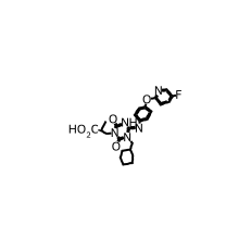 C[C@@H](Cn1c(=O)[nH]/c(=N\c2ccc(Oc3ccc(F)cn3)cc2)n(CC2CCCCC2)c1=O)C(=O)O